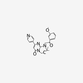 COc1cccc(C(=O)CN2c3nc(-c4ccncc4)cc(=O)n3CCC2(C)C)c1